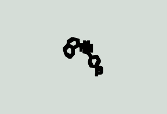 COc1ccc(-c2cn(-c3cccc4ccccc34)nn2)cc1